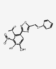 CC(=O)c1c(-c2noc(COc3ccccc3)n2)cc(O)c(O)c1[N+](=O)[O-]